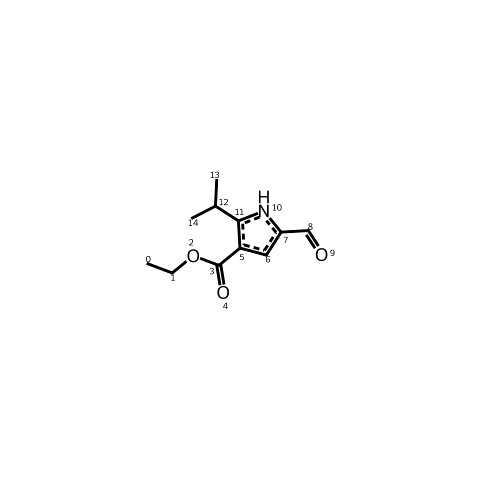 CCOC(=O)c1cc(C=O)[nH]c1C(C)C